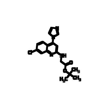 CC(C)(C)OC(=O)CNc1cc(-n2ccnc2)c2ccc(Cl)cc2n1